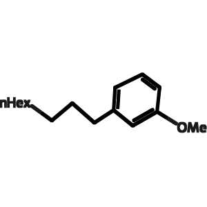 CCCCCCCCCc1cccc(OC)c1